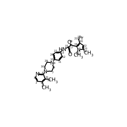 Cc1ccnc(N2CCN(c3ccc(NC(=O)C(=O)c4c(C(C)C)cc(C)n4C)cc3)CC2)c1C